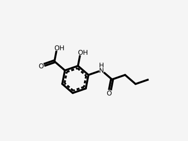 CCCC(=O)Nc1cccc(C(=O)O)c1O